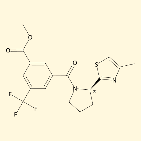 COC(=O)c1cc(C(=O)N2CCC[C@@H]2c2nc(C)cs2)cc(C(F)(F)F)c1